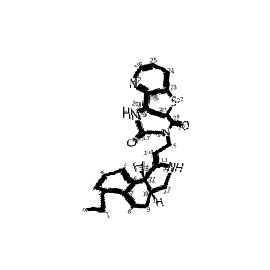 CCc1cccc2c1CC[C@H]1CNC(CCn3c(=O)[nH]c4c(sc5cccnc54)c3=O)[C@@H]21